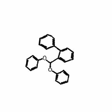 c1ccc(OC(Oc2ccccc2)c2ccccc2-c2ccccc2)cc1